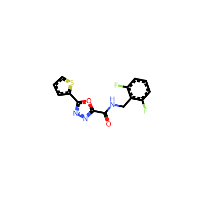 O=C(NCc1c(F)cccc1F)c1nnc(-c2cccs2)o1